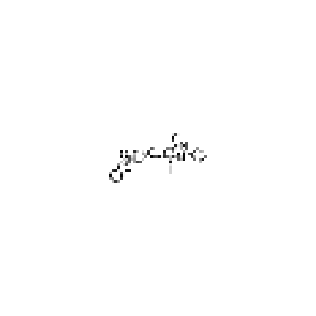 O=S(=O)(Cc1ccccc1)N1CCC(OCc2cc3c(Cl)nc(-c4ccccc4)nc3[nH]2)CC1